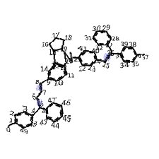 Cc1ccc(/C(=C/C=C/c2ccc3c(c2)C2CCCC2N3c2ccc(/C=C(\c3ccccc3)c3ccc(C)cc3)cc2)c2ccccc2)cc1